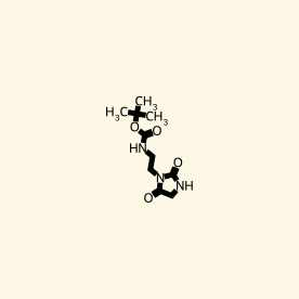 CC(C)(C)OC(=O)NCCN1C(=O)CNC1=O